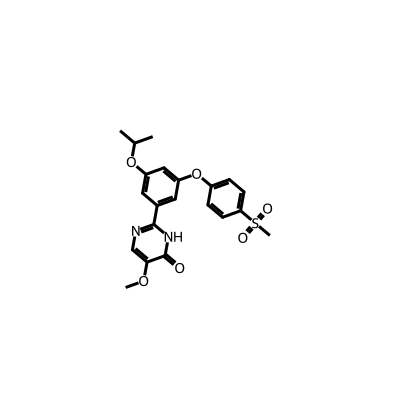 COc1cnc(-c2cc(Oc3ccc(S(C)(=O)=O)cc3)cc(OC(C)C)c2)[nH]c1=O